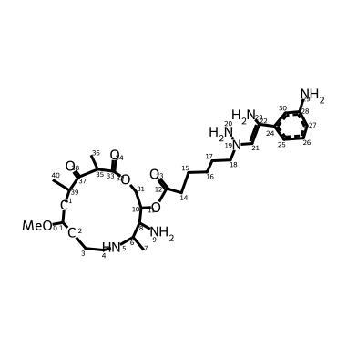 COC1CCCNC(C)C(N)C(OC(=O)CCCCCN(N)/C=C(\N)c2cccc(N)c2)COC(=O)C(C)C(=O)C(C)C1